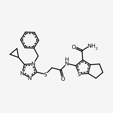 NC(=O)c1c(NC(=O)CSc2nnc(C3CC3)n2Cc2ccccc2)sc2c1CCC2